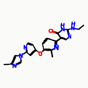 CCNc1ncc(-c2ccc(Oc3ccnc(-n4cnc(C)c4)c3)c(C)n2)c(=O)[nH]1